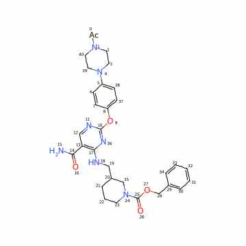 CC(=O)N1CCN(c2ccc(Oc3ncc(C(N)=O)c(NCC4CCCN(C(=O)OCc5ccccc5)C4)n3)cc2)CC1